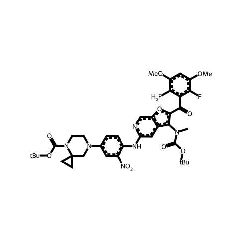 COc1cc(OC)c(P)c(C(=O)c2oc3cnc(Nc4ccc(N5CCN(C(=O)OC(C)(C)C)C6(CC6)C5)cc4[N+](=O)[O-])cc3c2N(C)C(=O)OC(C)(C)C)c1F